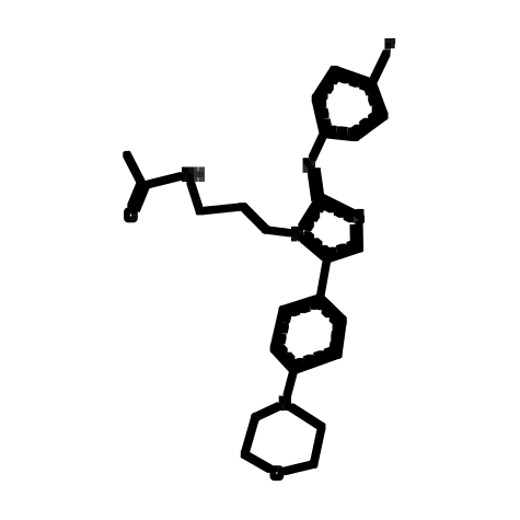 CC(=O)NCCCn1c(-c2ccc(N3CCOCC3)cc2)cs/c1=N\c1ccc(F)cc1